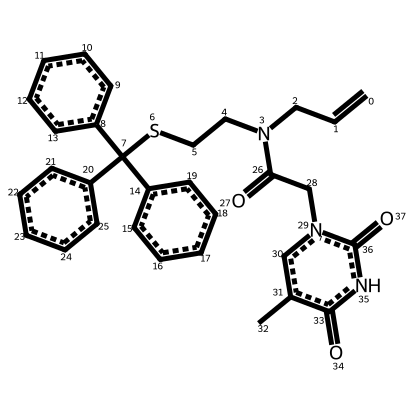 C=CCN(CCSC(c1ccccc1)(c1ccccc1)c1ccccc1)C(=O)Cn1cc(C)c(=O)[nH]c1=O